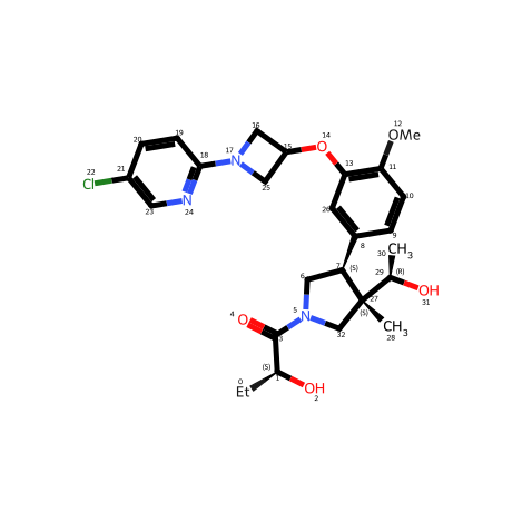 CC[C@H](O)C(=O)N1C[C@@H](c2ccc(OC)c(OC3CN(c4ccc(Cl)cn4)C3)c2)[C@](C)([C@@H](C)O)C1